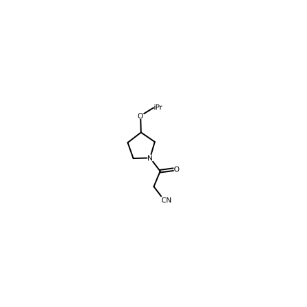 CC(C)OC1CCN(C(=O)CC#N)C1